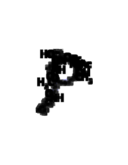 CC(=O)CC[C@H]1C(=O)N[C@@H](C(C)C)C(=O)NC(c2cccc(O)c2)C(=O)N2CCCC(N2)C(=O)O[C@H](/C(C)=C/C=C/C(=O)Nc2ccc(-c3ccccc3)cc2)C/C=C/C=C/C[C@H](C)[C@H]1O